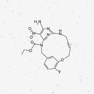 CCOC(=O)N1Cc2ccc(F)c(c2)OC/C=C\CNc2nc(N)c([N+](=O)[O-])c1n2